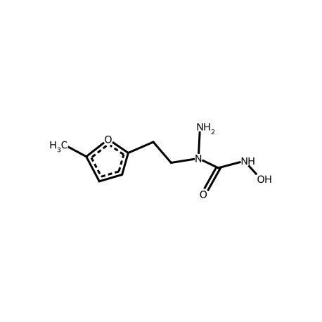 Cc1ccc(CCN(N)C(=O)NO)o1